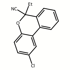 CCC1(C#N)Oc2ccc(Cl)cc2-c2ccccc21